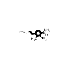 CCOC(=O)/C=C/c1ccc(N(N)CC)c(N)c1C